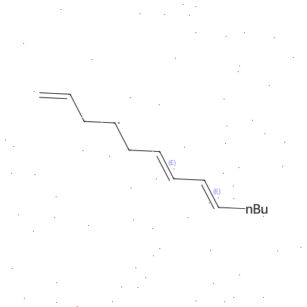 C=CC[CH]C/C=C/C=C/CCCC